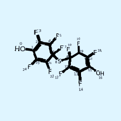 OC1=C(F)C(F)C(F)(SC2(F)C(F)=C(F)C(O)=C(F)C2F)C(F)=C1F